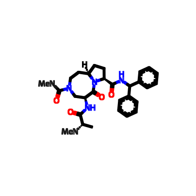 CNC(=O)N1CC[C@H]2CC[C@@H](C(=O)NC(c3ccccc3)c3ccccc3)N2C(=O)[C@@H](NC(=O)[C@H](C)NC)C1